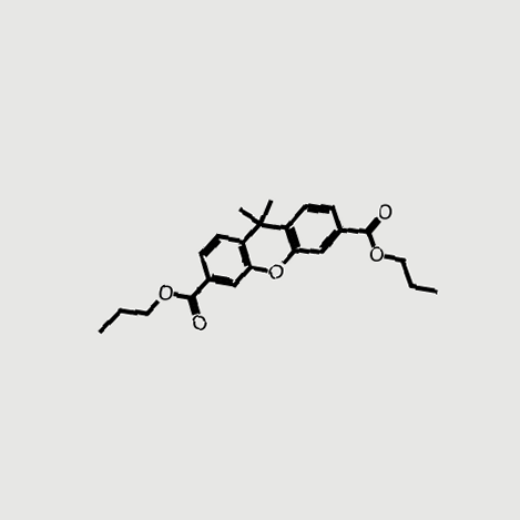 CCCOC(=O)c1ccc2c(c1)Oc1cc(C(=O)OCCC)ccc1C2(C)C